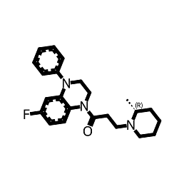 C[C@@H]1CCCCN1CCC(=O)N1CCN(c2ccccc2)c2cc(F)ccc21